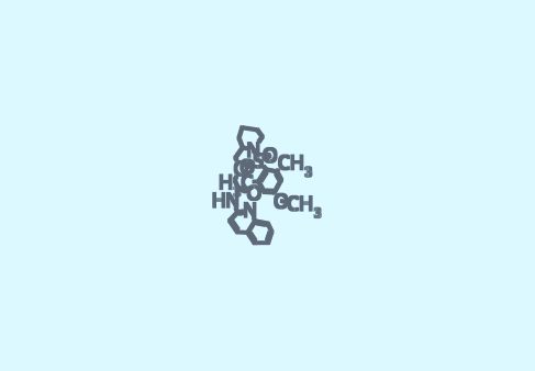 COc1cc(C)c(S(=O)(=O)N2CCCCC2COCC(=O)Nc2ccc3ccccc3n2)c(C)c1